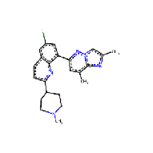 Cc1cn2nc(-c3cc(F)cc4ccc(C5CCN(C)CC5)nc34)cc(C)c2n1